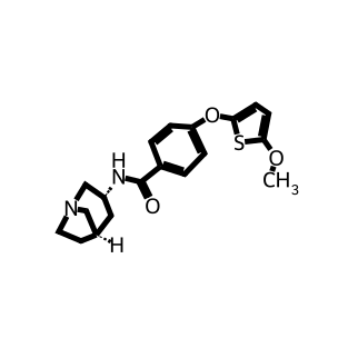 COc1ccc(Oc2ccc(C(=O)N[C@@H]3C[C@H]4CCN(C4)C3)cc2)s1